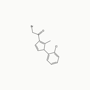 CC1=C(C(=O)CBr)C=CC1c1ccccc1Cl